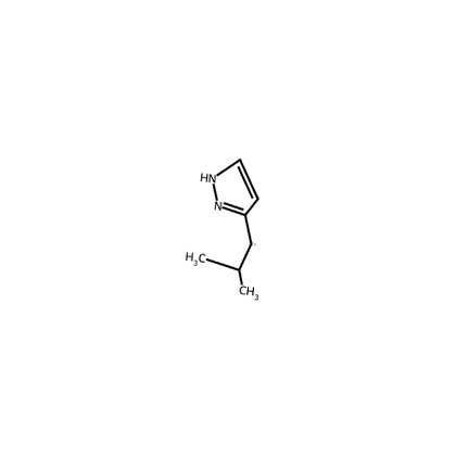 CC(C)[CH]c1cc[nH]n1